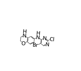 Clc1ncc(Br)c(Nc2ccc3c(c2)NCCO3)n1